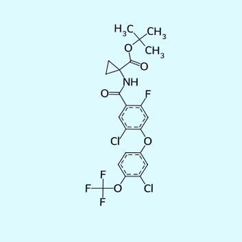 CC(C)(C)OC(=O)C1(NC(=O)c2cc(Cl)c(Oc3ccc(OC(F)(F)F)c(Cl)c3)cc2F)CC1